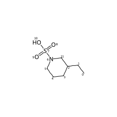 CCC1CCCN(S(=O)(=O)O)C1